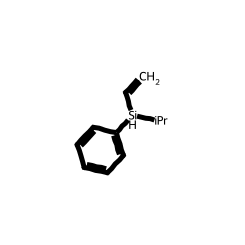 C=C[SiH](c1ccccc1)C(C)C